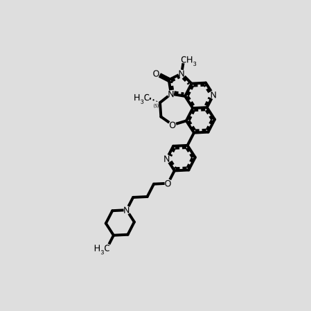 CC1CCN(CCCOc2ccc(-c3ccc4ncc5c6c4c3OC[C@H](C)n6c(=O)n5C)cn2)CC1